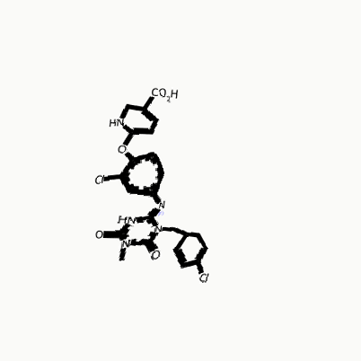 Cn1c(=O)[nH]/c(=N\c2ccc(OC3=CC=C(C(=O)O)CN3)c(Cl)c2)n(CC2C=CC(Cl)=CC2)c1=O